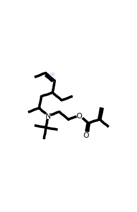 C=C(C)C(=O)OCCN(C(C)CC(/C=C\C)CC)C(C)(C)C